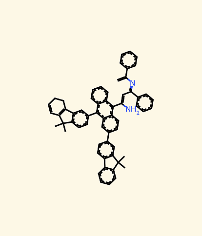 C=C(/N=C(\C=C(/N)c1c2ccccc2c(-c2ccc3c(c2)C2=C(C=CCC2)C3(C)C)c2cc(-c3ccc4c(c3)C(C)(C)c3ccccc3-4)ccc12)c1ccccc1)c1ccccc1